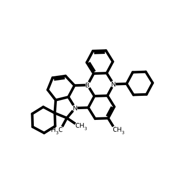 CC1=CC2C3B(C4=CC=CCC4N2C2CCCCC2)C2C=CCC4C2N(C3C1)C(C)(C)C41CCCCC1